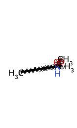 CCCCCCCCCCCCCCCCCCNC(C)C(=O)OC